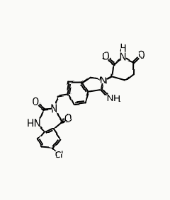 N=C1c2ccc(Cn3c(=O)[nH]c4ccc(Cl)cc4c3=O)cc2CN1C1CCC(=O)NC1=O